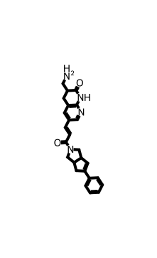 NCC1Cc2cc(/C=C/C(=O)N3CC4C=C(c5ccccc5)CC4C3)cnc2NC1=O